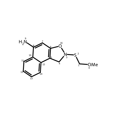 COCSN1Cc2c(cc(N)c3ccccc23)O1